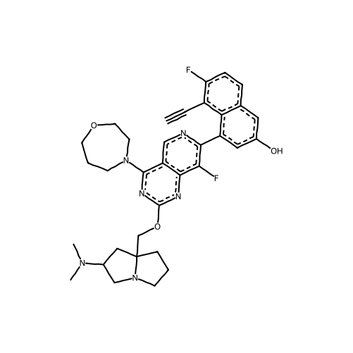 C#Cc1c(F)ccc2cc(O)cc(-c3ncc4c(N5CCCOCC5)nc(OCC56CCCN5CC(N(C)C)C6)nc4c3F)c12